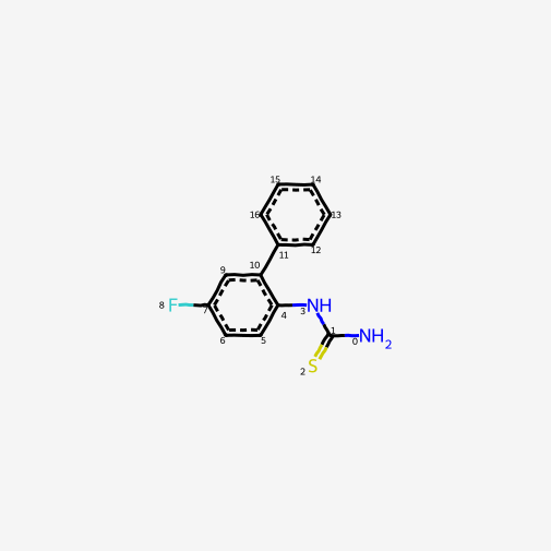 NC(=S)Nc1ccc(F)cc1-c1ccccc1